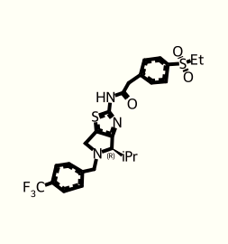 CCS(=O)(=O)c1ccc(CC(=O)Nc2nc3c(s2)CN(Cc2ccc(C(F)(F)F)cc2)[C@@H]3C(C)C)cc1